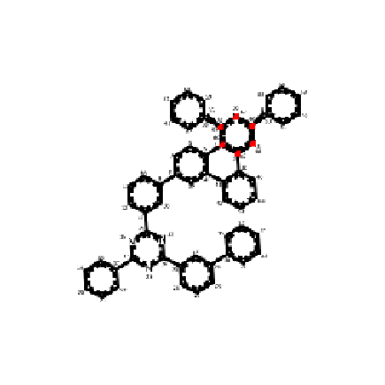 Cc1ccc(-c2ccc(-c3cccc(-c4nc(-c5ccccc5)nc(-c5cccc(-c6ccccc6)c5)n4)c3)cc2-c2ccccc2-c2nc(-c3ccccc3)nc(-c3ccccc3)n2)c(C)n1